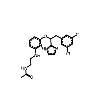 CC(=O)NCCNc1cccc(OC(Cc2cc(Cl)cc(Cl)c2)c2ncc[nH]2)n1